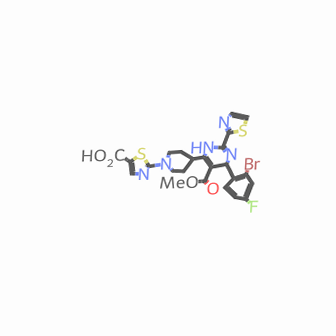 COC(=O)C1=C(C2CCN(c3ncc(C(=O)O)s3)CC2)NC(c2nccs2)=NC1c1ccc(F)cc1Br